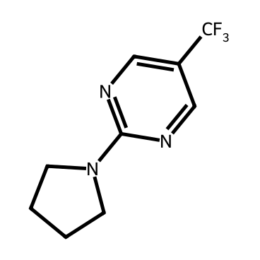 FC(F)(F)c1cnc(N2CCCC2)nc1